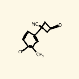 N#CC1(c2ccc(Cl)c(C(F)(F)F)c2)CC(=O)C1